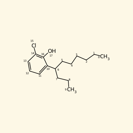 CCCCCCC(CCC)c1cccc(Cl)c1O